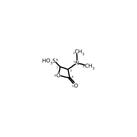 CN(C)C1C(=O)OC1S(=O)(=O)O